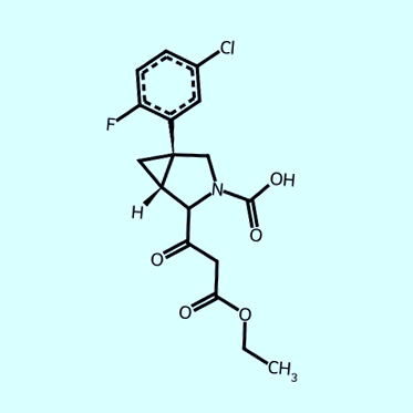 CCOC(=O)CC(=O)C1[C@@H]2C[C@]2(c2cc(Cl)ccc2F)CN1C(=O)O